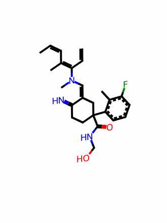 C=C/C(=C(C)\C=C/C)N(C)/C=C1/CC(C(=O)NCO)(c2cccc(F)c2C)CCC1=N